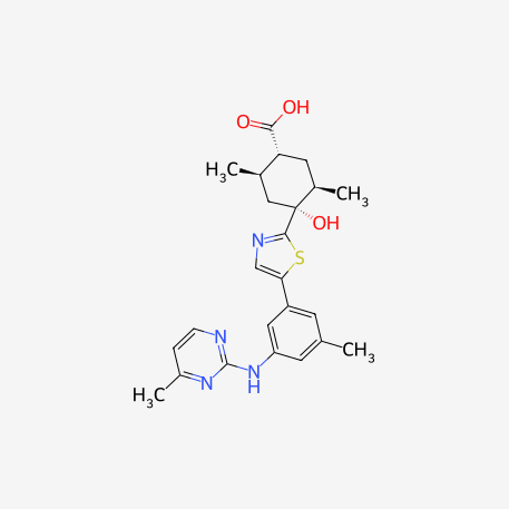 Cc1cc(Nc2nccc(C)n2)cc(-c2cnc([C@@]3(O)C[C@@H](C)[C@H](C(=O)O)C[C@H]3C)s2)c1